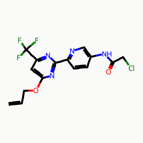 C=CCOc1cc(C(F)(F)F)nc(-c2ccc(NC(=O)CCl)cn2)n1